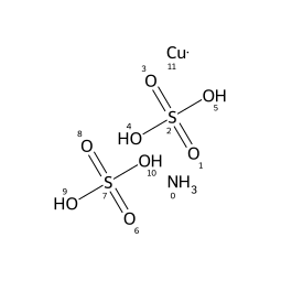 N.O=S(=O)(O)O.O=S(=O)(O)O.[Cu]